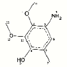 COc1c(N)cc(C)c(O)c1OC